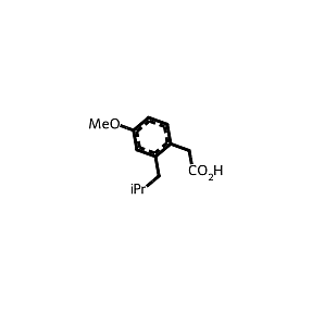 COc1ccc(CC(=O)O)c(CC(C)C)c1